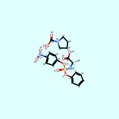 C[C@H](NP(=O)(Oc1ccccc1)Oc1ccc([N+](=O)[O-])cc1)C(=O)O[C@H]1CCN(C(=O)O)C1